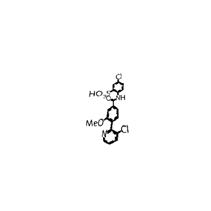 COc1cc(C(=O)Nc2ccc(Cl)cc2S(=O)(=O)O)ccc1-c1ncccc1Cl